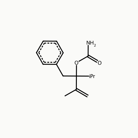 C=C(C)C(Cc1ccccc1)(OC(N)=O)C(C)C